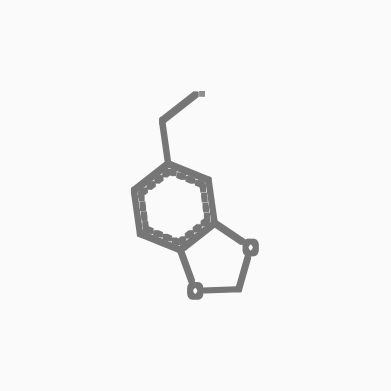 [CH2]Cc1ccc2c(c1)OCO2